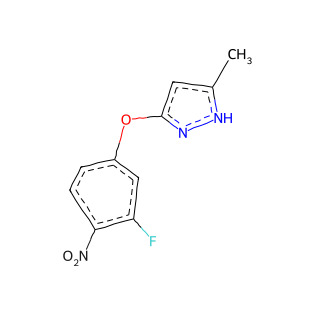 Cc1cc(Oc2ccc([N+](=O)[O-])c(F)c2)n[nH]1